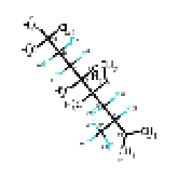 CCC(C)(C(C)(C)C(F)(F)C(F)(F)C(C)(C)C)C(F)(F)C(F)(C(C)C)C(F)(F)F